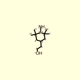 CC1(C)CC(CCO)CC(C)(C)N1N